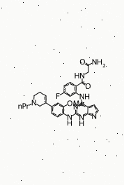 CCCN1CCC=C(c2ccc(Nc3nc(Nc4cc(F)ccc4C(=O)NCC(N)=O)c4ccnc-4[nH]3)c(OC)c2)C1